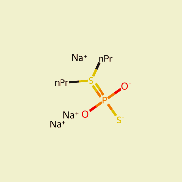 CCCS(CCC)=P([O-])([O-])[S-].[Na+].[Na+].[Na+]